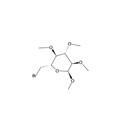 CO[C@H]1O[C@H](CBr)[C@@H](OC)[C@H](OC)[C@H]1OC